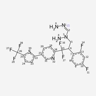 N/N=C\N(N)CC(c1ccc(F)cc1F)C(F)(F)c1ccc(-c2ccc(C(F)(F)F)s2)cn1